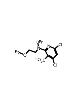 CCCN(CCOCC)c1nc(Cl)cc(Cl)c1C(=O)O